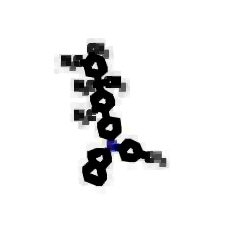 Cc1ccc(N(c2ccc(-c3ccc(C(C)(C)c4ccc(C)c(C)c4)cc3C)cc2)c2ccc3ccccc3c2)cc1